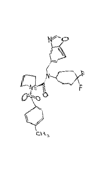 Cc1ccc(S(=O)(=O)N2CCC[C@H]2C(=O)N(Cc2ccc3ocnc3c2)C2CCC(F)(F)CC2)cc1